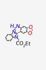 CCOC(=O)Cn1c(-c2cc3c(cc2N)OCO3)nc2ccccc21